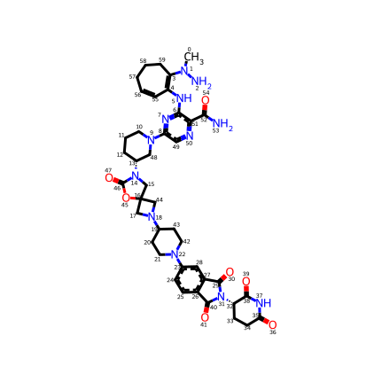 CN(N)C1=C(Nc2nc(N3CCC[C@@H](N4CC5(CN(C6CCN(c7ccc8c(c7)C(=O)N([C@H]7CCC(=O)NC7=O)C8=O)CC6)C5)OC4=O)C3)cnc2C(N)=O)C=CCCC1